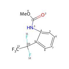 COC(=O)Nc1ccccc1C(F)(F)C(F)(F)F